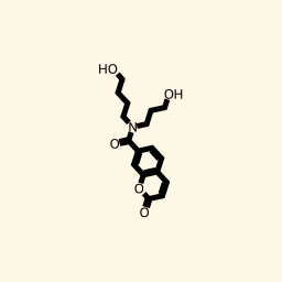 O=C(c1ccc2ccc(=O)oc2c1)N(CCCO)CCCCO